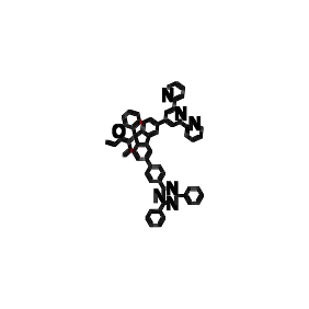 C=CC1=C(C=C)C2(c3ccccc3O1)c1ccc(-c3ccc(-c4nc(-c5ccccc5)nc(-c5ccccc5)n4)cc3)cc1-c1cc(-c3cc(-c4ccccn4)nc(-c4ccccn4)c3)ccc12